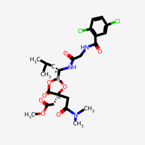 COC(=O)C[C@@]1(CC(=O)N(C)C)OB([C@H](CC(C)C)NC(=O)CNC(=O)c2cc(Cl)ccc2Cl)OC1=O